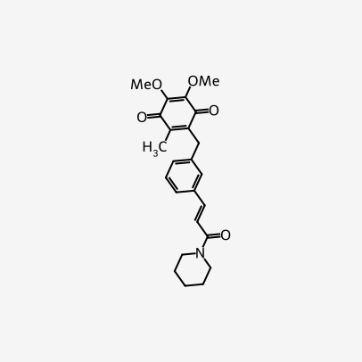 COC1=C(OC)C(=O)C(Cc2cccc(C=CC(=O)N3CCCCC3)c2)=C(C)C1=O